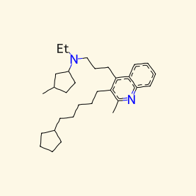 CCN(CCCc1c(CCCCCC2CCCC2)c(C)nc2ccccc12)C1CCC(C)C1